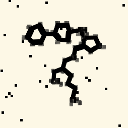 CCCCC(CC)COC=C1COCN1Nc1ccc(-c2ccccc2)cc1